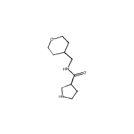 O=C(NCC1CCOCC1)C1CCNC1